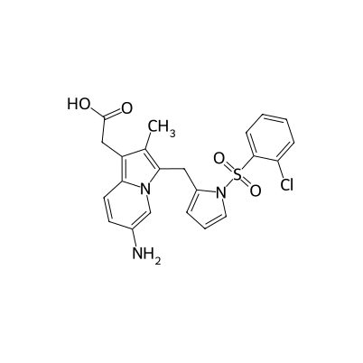 Cc1c(CC(=O)O)c2ccc(N)cn2c1Cc1cccn1S(=O)(=O)c1ccccc1Cl